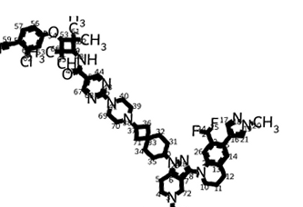 CC(=O)N1CCc2c(c(N3CCCc4cc(-c5cnn(C)c5)c(C(F)F)cc43)nn2C2CCC3(CC2)CC(N2CCN(c4ncc(C(=O)NC5C(C)(C)C(Oc6ccc(C#N)c(Cl)c6)C5(C)C)cn4)CC2)C3)C1